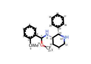 COc1ccccc1C(N[C@H]1CCCN[C@H]1c1ccccc1)OC(F)(F)F